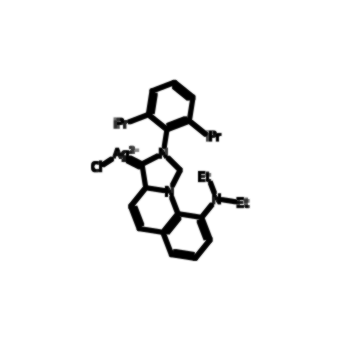 CCN(CC)c1cccc2c1N1CN(c3c(C(C)C)cccc3C(C)C)[C](=[Ag-2][Cl])C1C=C2